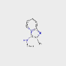 CCCCCNc1c(C(C)C)nc2ccccn12